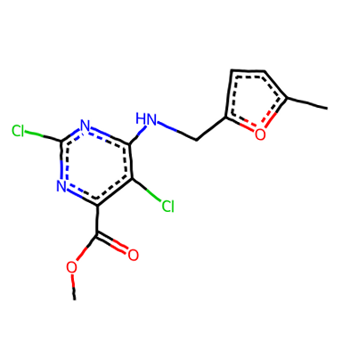 COC(=O)c1nc(Cl)nc(NCc2ccc(C)o2)c1Cl